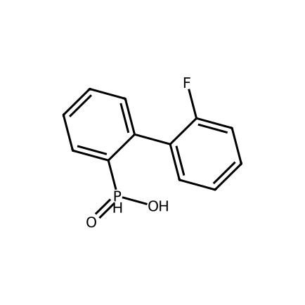 O=[PH](O)c1ccccc1-c1ccccc1F